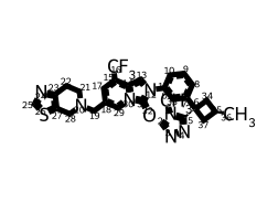 Cn1cnnc1[C@]1(c2cccc(-n3cc4c(C(F)(F)F)cc(CN5CCc6ncsc6C5)cn4c3=O)c2)C[C@@H](C)C1